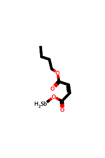 CCCCOC(=O)/C=C\C(=O)[O][SbH2]